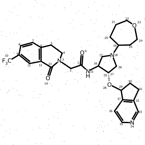 O=C(CN1CCc2ccc(C(F)(F)F)cc2C1=O)NC1CN(C2CCCOCC2)C[C@@H]1OC1CCc2cnccc21